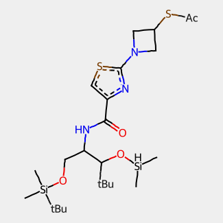 CC(=O)SC1CN(c2nc(C(=O)NC(CO[Si](C)(C)C(C)(C)C)C(O[SiH](C)C)C(C)(C)C)cs2)C1